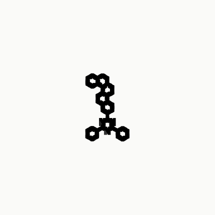 c1ccc(-c2nc(-c3ccccc3)nc(-c3ccc4c(ccc5c4ccc4ccc6ccccc6c45)c3)n2)cc1